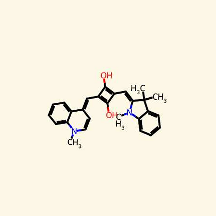 CN1C=CC(=CC2=C(O)C(C=C3N(C)c4ccccc4C3(C)C)=C2O)c2ccccc21